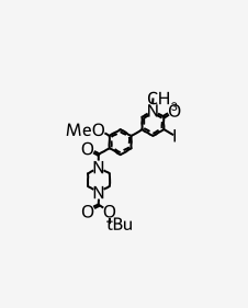 COc1cc(-c2cc(I)c(=O)n(C)c2)ccc1C(=O)N1CCN(C(=O)OC(C)(C)C)CC1